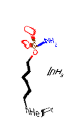 CCCCCCCCCCCCOS(N)(=O)=O.[InH3]